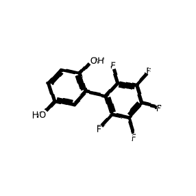 Oc1ccc(O)c(-c2c(F)c(F)c(F)c(F)c2F)c1